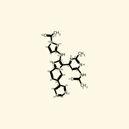 CC(=O)Nc1cc(-c2c(Nc3ccn(C(C)=O)n3)nc3ccc(-c4cncnc4)cn23)nc(C)n1